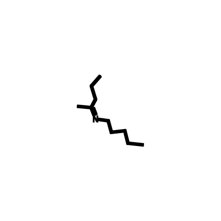 CCCCCN=C(C)CCC